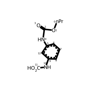 CCCOC(=O)Nc1cccc(NC(=O)O)c1